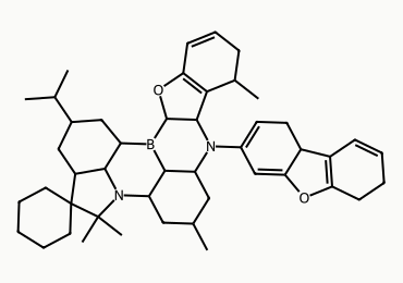 CC1CC2C3B(C4CC(C(C)C)CC5C4N(C3C1)C(C)(C)C51CCCCC1)C1OC3=C(C(C)CC=C3)C1N2C1=CCC2C(=C1)OC1=C2C=CCC1